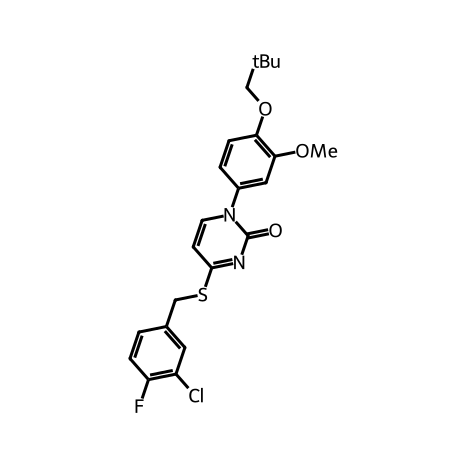 COc1cc(-n2ccc(SCc3ccc(F)c(Cl)c3)nc2=O)ccc1OCC(C)(C)C